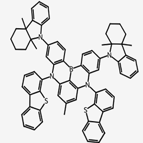 Cc1cc2c3c(c1)N(c1cccc4c1sc1ccccc14)c1cc(N4c5ccccc5C5(C)CCCCC45C)ccc1B3c1ccc(N3c4ccccc4C4(C)CCCCC34C)cc1N2c1cccc2c1sc1ccccc12